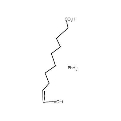 CCCCCCCC/C=C\CCCCCCCC(=O)O.[PbH2]